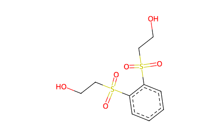 O=S(=O)(CCO)c1ccccc1S(=O)(=O)CCO